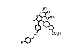 Cc1nc(C)c(C(OC(C)(C)C)C(=O)OC(C)C)c(N2CCC3(CCN(C(=O)O)C3)CC2)c1-c1ccc(OCCc2ccc(F)cc2)cc1